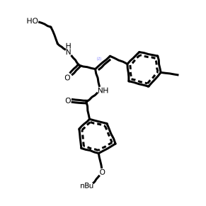 CCCCOc1ccc(C(=O)N/C(=C\c2ccc(C)cc2)C(=O)NCCO)cc1